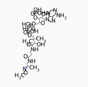 CO/N=C(\C)CNC(=O)CCNC(=O)C(O)C(C)(C)COP(=O)(O)PP(=O)(O)OCC1OC(n2cnc3c(N)ncnc32)C(O)C1OP(=O)(O)O